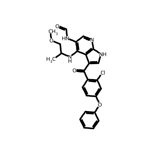 COCC(C)Nc1c(NC=O)cnc2[nH]cc(C(=O)c3ccc(Oc4ccccc4)cc3Cl)c12